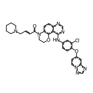 O=C(/C=C/CN1CCCCC1)N1CCOc2c1ccc1ncnc(Nc3ccc(Oc4ccn5ncnc5c4)c(Cl)c3)c21